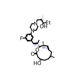 CC[C@@H](O)[C@@H](C)CN1CCN(c2cc(F)cc(/C=C(\C)[C@H]3OC(=O)C[C@@H](O)CC[C@H](C)[CH]/C=C/[C@@H]3C)c2)CC1